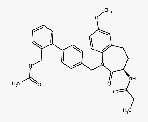 CCC(=O)N[C@@H]1CCc2cc(OC)ccc2N(Cc2ccc(-c3ccccc3CNC(N)=O)cc2)C1=O